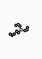 CC1(C)c2ccccc2-c2cc(-c3cccc4c(-c5nc(-c6ccc7ccc8ccccc8c7c6)nc(-c6ccc7ccc8ccccc8c7c6)n5)cccc34)ccc21